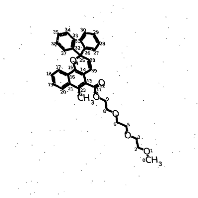 COCCOCCOCCOC(=O)c1c2c(c3ccccc3c1C)OC(c1ccccc1)(c1ccccc1)C=C2